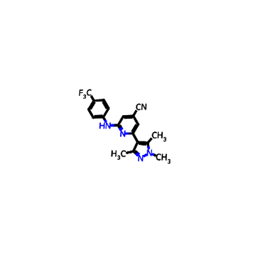 Cc1nn(C)c(C)c1-c1cc(C#N)cc(Nc2ccc(C(F)(F)F)cc2)n1